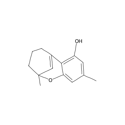 Cc1cc(O)c2c(c1)OC1(C)C=C2CCC1